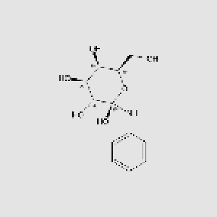 OC[C@H]1O[C@](O)(Nc2ccccc2)[C@H](O)[C@@H](O)[C@H]1O